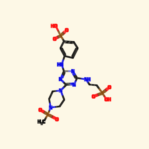 CS(=O)(=O)N1CCN(c2nc(NCCS(=O)(=O)O)nc(Nc3cccc(S(=O)(=O)O)c3)n2)CC1